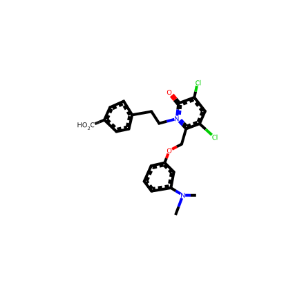 CN(C)c1cccc(OCc2c(Cl)cc(Cl)c(=O)n2CCc2ccc(C(=O)O)cc2)c1